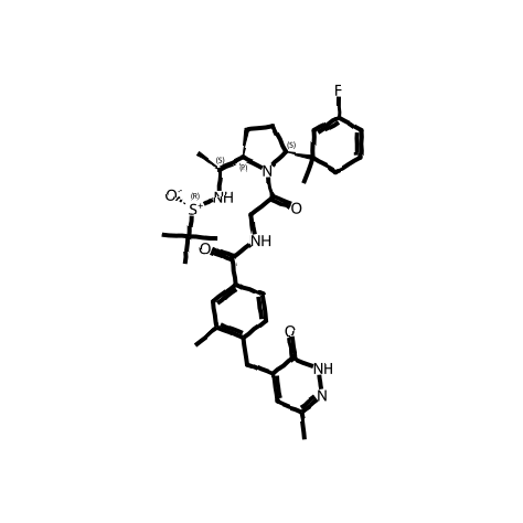 Cc1cc(Cc2ccc(C(=O)NCC(=O)N3[C@@H]([C@H](C)N[S@@+]([O-])C(C)(C)C)CC[C@H]3C3(C)C=C(F)C=CC3)cc2C)c(=O)[nH]n1